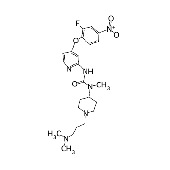 CN(C)CCCN1CCC(N(C)C(=O)Nc2cc(Oc3ccc([N+](=O)[O-])cc3F)ccn2)CC1